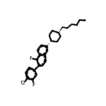 CCCCCC[C@H]1CC[C@H](c2ccc3c(F)c(-c4ccc(Cl)c(F)c4)ccc3c2)CC1